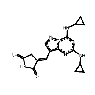 C=C1C/C(=C\c2cnn3c(NC4CC4)nc(NC4CC4)nc23)C(=O)N1